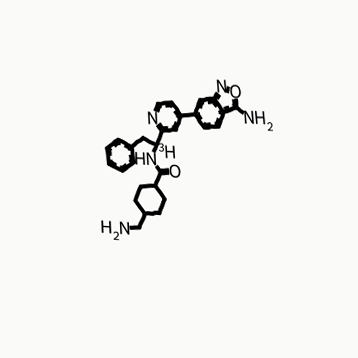 [3H]C(Cc1ccccc1)(NC(=O)C1CCC(CN)CC1)c1cc(-c2ccc3c(N)onc3c2)ccn1